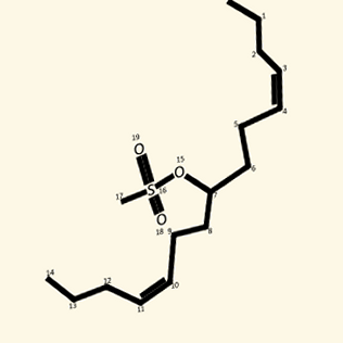 CCC/C=C\CCC(CC/C=C\CCC)OS(C)(=O)=O